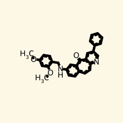 COc1ccc(CNc2ccc3ccc4ncc(-c5ccccc5)cc4c(=O)c3c2)c(OC)c1